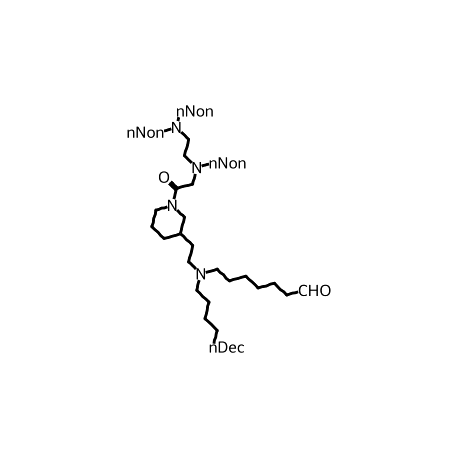 CCCCCCCCCCCCCCN(CCCCCCC=O)CCC1CCCN(C(=O)CN(CCCCCCCCC)CCN(CCCCCCCCC)CCCCCCCCC)C1